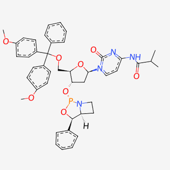 COc1ccc(C(OC[C@H]2O[C@@H](n3ccc(NC(=O)C(C)C)nc3=O)C[C@@H]2O[P@@]2O[C@H](c3ccccc3)[C@@H]3CCN32)(c2ccccc2)c2ccc(OC)cc2)cc1